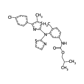 Cc1ccc(NC(=O)OCC(C)C)cc1N(c1nccs1)c1nc(-c2ccc(Cl)cc2)c(C)s1